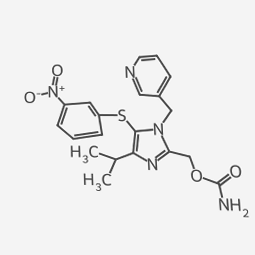 CC(C)c1nc(COC(N)=O)n(Cc2cccnc2)c1Sc1cccc([N+](=O)[O-])c1